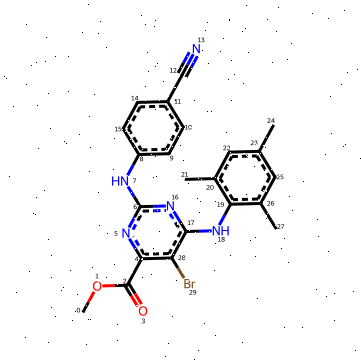 COC(=O)c1nc(Nc2ccc(C#N)cc2)nc(Nc2c(C)cc(C)cc2C)c1Br